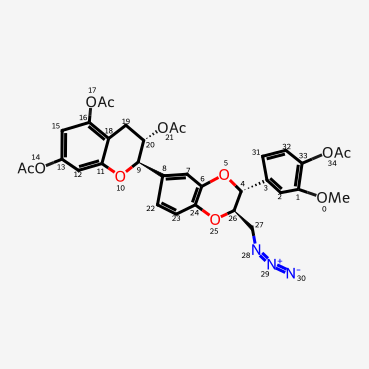 COc1cc([C@H]2Oc3cc([C@H]4Oc5cc(OC(C)=O)cc(OC(C)=O)c5C[C@@H]4OC(C)=O)ccc3O[C@@H]2CN=[N+]=[N-])ccc1OC(C)=O